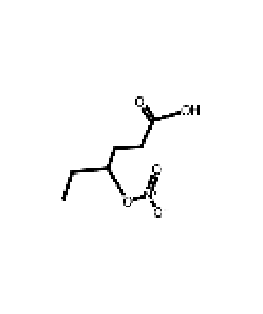 CCC(CCC(=O)O)O[N+](=O)[O-]